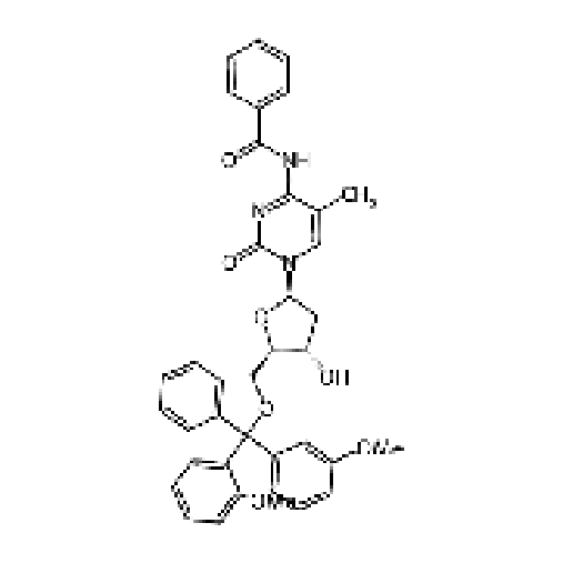 COc1cccc(C(OC[C@H]2O[C@@H](n3cc(C)c(NC(=O)c4ccccc4)nc3=O)C[C@@H]2O)(c2ccccc2)c2ccccc2OC)c1